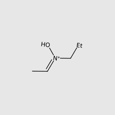 CC=[N+](O)CCC